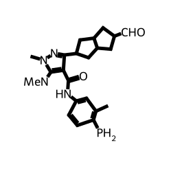 CNc1c(C(=O)Nc2ccc(P)c(C)c2)c(C2CC3CC(C=O)CC3C2)nn1C